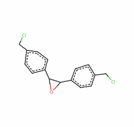 ClCc1ccc(C2OC2c2ccc(CCl)cc2)cc1